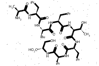 CC[C@H](C)[C@H](NC(=O)[C@H](CC(C)C)NC(=O)[C@H](C)N)C(=O)N[C@@H](CC(C)C)C(=O)N[C@H](C(=O)N[C@@H](CC(C)C)C(=O)N[C@H](C(=O)N[C@@H](CO)C(=O)O)C(C)C)[C@@H](C)O